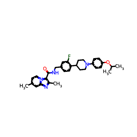 Cc1ccn2c(C(=O)NCc3ccc(C4CCN(c5ccc(OC(C)C)cc5)CC4)c(F)c3)c(C)nc2c1